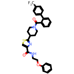 O=C(NCCOc1ccccc1)c1csc(C2CCN(C(=O)c3ccccc3-c3ccc(C(F)(F)F)cc3)CC2)n1